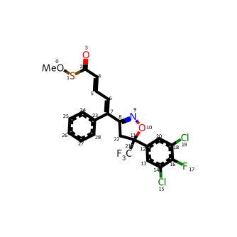 COSC(=O)/C=C/C=C(/C1=NOC(c2cc(Cl)c(F)c(Cl)c2)(C(F)(F)F)C1)c1ccccc1